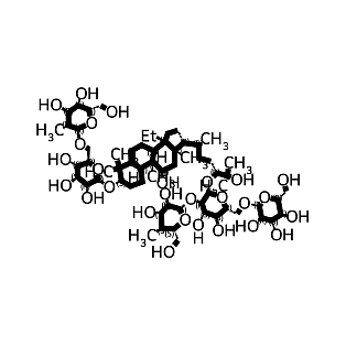 CC[C@@]12CC[C@H]([C@H](C)CC[C@@H](O[C@@H]3O[C@H](CO[C@@H]4O[C@H](CO)[C@@H](O)[C@H](O)[C@H]4O)[C@@H](O)[C@H](O)[C@H]3O[C@@H]3O[C@H](CO)[C@@H](C)[C@H](O)[C@H]3O)C(C)(C)O)[C@@]1(C)C[C@@H](O)[C@@]1(C)[C@@H]3CC[C@H](O[C@@H]4O[C@H](CO[C@@H]5O[C@@H](CO)[C@@H](O)[C@H](O)[C@H]5C)[C@@H](O)[C@H](O)[C@H]4O)C(C)(C)C3=CC[C@H]12